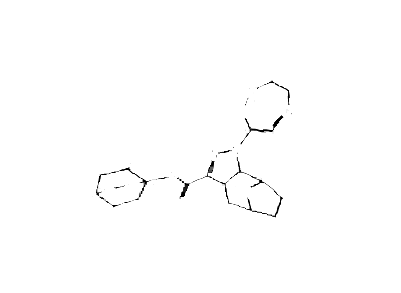 O=C(NC12CCC(CC1)CC2)C1=NN(C2BNCCN=C2)C2C3CCC(CC12)O3